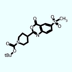 CC(C)(C)OC(=O)N1CCC(c2nc3ccc(S(C)(=O)=O)cc3c(=O)o2)CC1